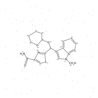 NC(=O)c1csc(C(OC2CCCCO2)c2cn(C(=O)O)c3ccccc23)n1